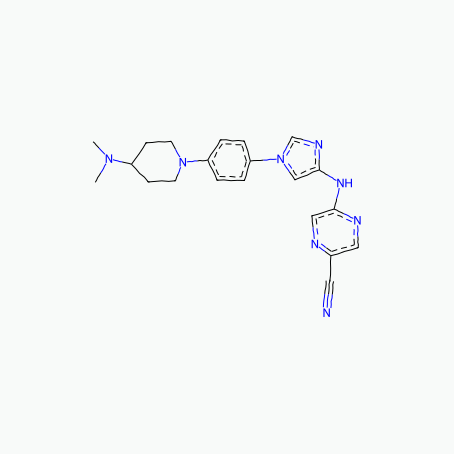 CN(C)C1CCN(c2ccc(-n3cnc(Nc4cnc(C#N)cn4)c3)cc2)CC1